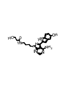 Nc1ncnc2c1c(-c1cc3cc(O)ccc3[nH]1)nn2CCCCNC(=O)CCO